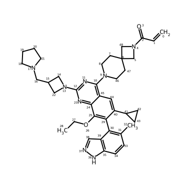 C=CC(=O)N1CC2(CCN(c3nc(N4CC(CN5CCCC5)C4)nc4c(OCC)c(-c5c(C)ccc6[nH]ncc56)c(C5CC5)cc34)CC2)C1